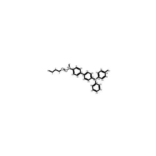 CCCCOON(C)c1ccc(-c2ccc(N(c3ccccc3)c3ccc(C)cc3)cc2)cc1